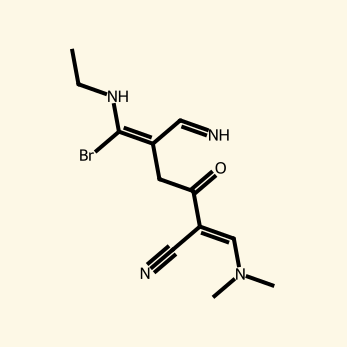 CCN/C(Br)=C(\C=N)CC(=O)/C(C#N)=C/N(C)C